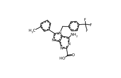 Cc1cccc(-c2nc3nc(C(=O)O)nc(N)c3n2Cc2ccc(C(F)(F)F)cc2)c1